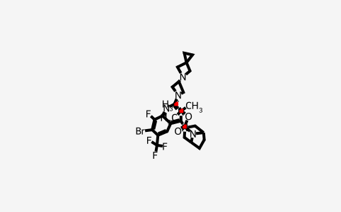 CC(C)(C)OC(=O)N1C2CCC1CN(c1nc(N3CC(N4CC5(CC5)C4)C3)nc3c(F)c(Br)c(C(F)(F)F)cc13)C2